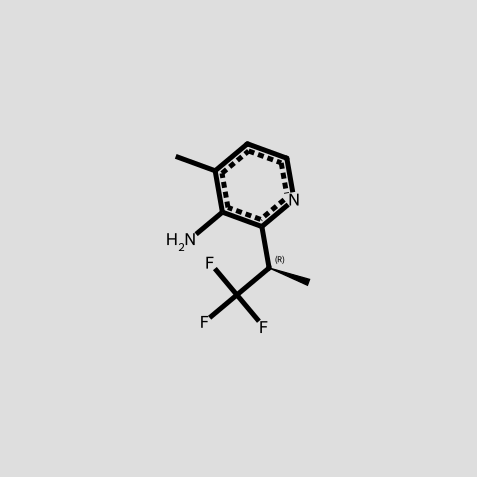 Cc1ccnc([C@@H](C)C(F)(F)F)c1N